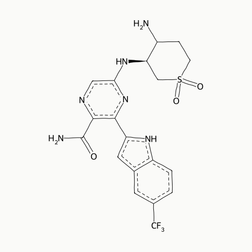 NC(=O)c1ncc(N[C@@H]2CS(=O)(=O)CCC2N)nc1-c1cc2cc(C(F)(F)F)ccc2[nH]1